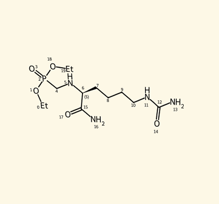 CCOP(=O)(CN[C@@H](CCCCNC(N)=O)C(N)=O)OCC